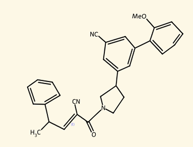 COc1ccccc1-c1cc(C#N)cc(C2CCN(C(=O)/C(C#N)=C/C(C)c3ccccc3)C2)c1